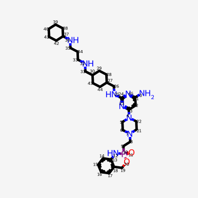 Nc1cc(N2CCN(CCP3(=O)Nc4ccccc4CO3)CC2)nc(NCC2CCC(CNCCCNC3CCCCC3)CC2)n1